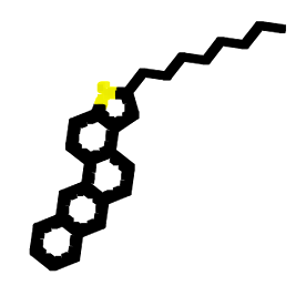 CCCCCCCCc1cc2c(ccc3c4cc5ccccc5cc4ccc23)s1